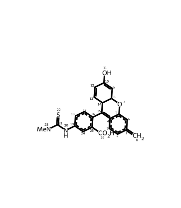 C=c1ccc2c(c1)OC1C=C(O)C=CC1C=2c1ccc(NC(=S)NC)cc1C(=O)O